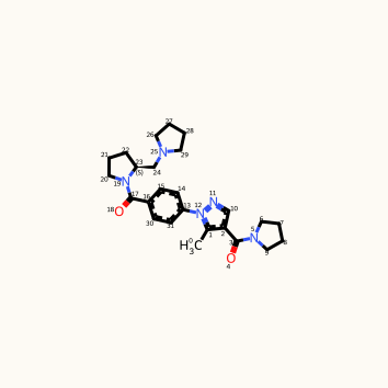 Cc1c(C(=O)N2CCCC2)cnn1-c1ccc(C(=O)N2CCC[C@H]2CN2CCCC2)cc1